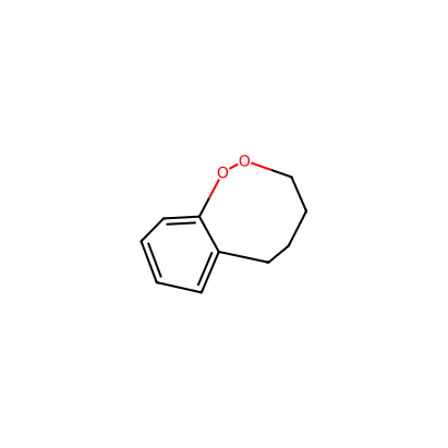 c1ccc2c(c1)CCCCOO2